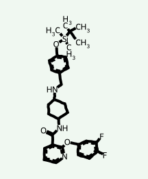 CC(C)(C)[Si](C)(C)Oc1ccc(CNC2CCC(NC(=O)c3cccnc3Oc3ccc(F)c(F)c3)CC2)cc1